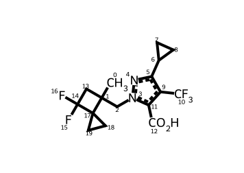 CC1(Cn2nc(C3CC3)c(C(F)(F)F)c2C(=O)O)CC(F)(F)C12CC2